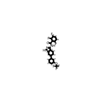 O=C(Nc1n[nH]c2cc(-c3cccc(OC(F)(F)F)c3)ccc12)c1c(F)ccc(F)c1F